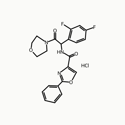 Cl.O=C(NC(C(=O)N1CCOCC1)c1ccc(F)cc1F)c1coc(-c2ccccc2)n1